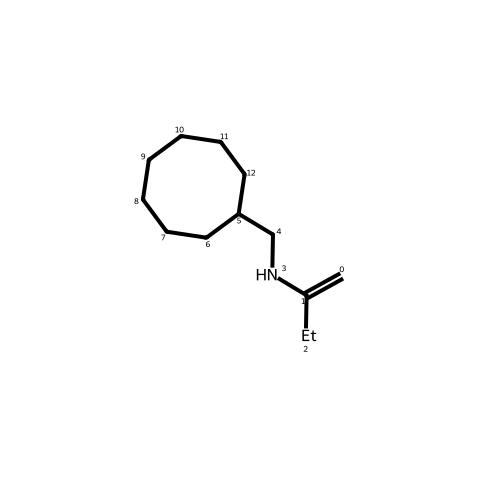 C=C(CC)NCC1CCCCCCC1